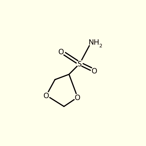 NS(=O)(=O)C1COCO1